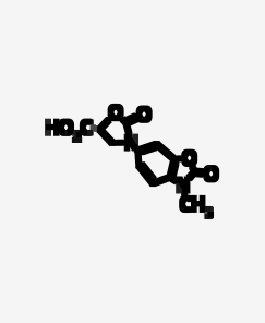 Cn1c(=O)oc2cc(N3C[C@H](C(=O)O)OC3=O)ccc21